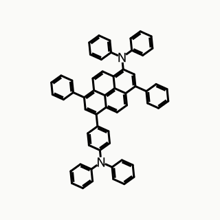 c1ccc(-c2cc(-c3ccc(N(c4ccccc4)c4ccccc4)cc3)c3ccc4c(-c5ccccc5)cc(N(c5ccccc5)c5ccccc5)c5ccc2c3c45)cc1